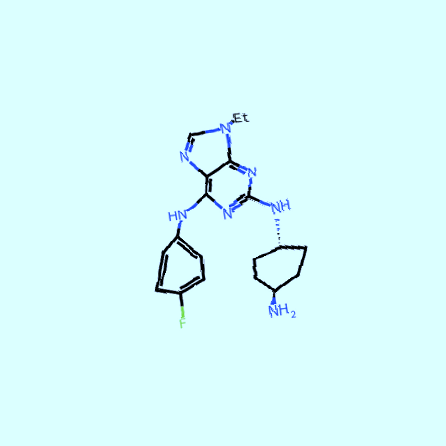 CCn1cnc2c(Nc3ccc(F)cc3)nc(N[C@H]3CC[C@H](N)CC3)nc21